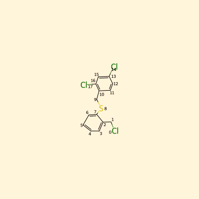 ClCc1ccccc1SCc1ccc(Cl)cc1Cl